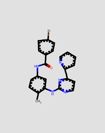 Cc1ccc(NC(=O)c2ccc(Br)cc2)cc1Nc1nccc(-c2ccccn2)n1